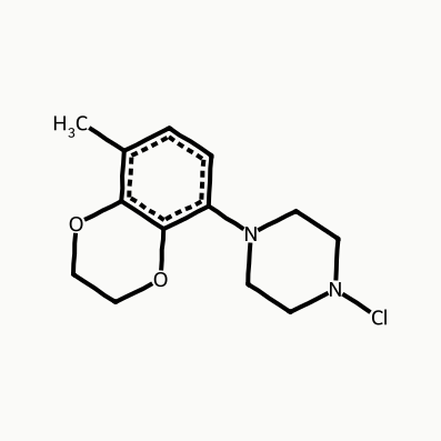 Cc1ccc(N2CCN(Cl)CC2)c2c1OCCO2